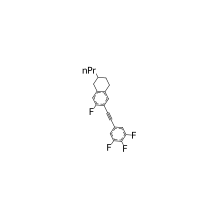 CCCC1CCc2cc(C#Cc3cc(F)c(F)c(F)c3)c(F)cc2C1